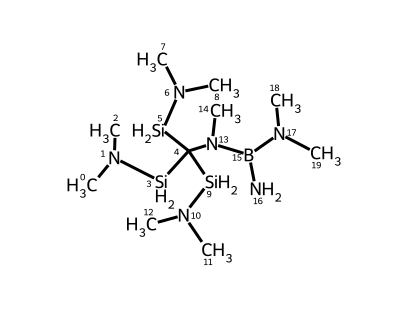 CN(C)[SiH2]C([SiH2]N(C)C)([SiH2]N(C)C)N(C)B(N)N(C)C